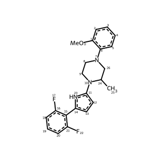 COc1ccccc1N1CCN(c2ccc(-c3c(F)cccc3F)[nH]2)C(C)C1